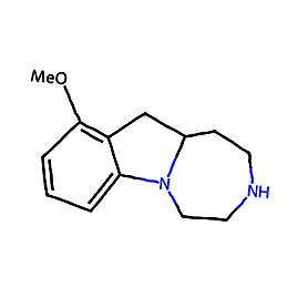 COc1cccc2c1CC1CCNCCN21